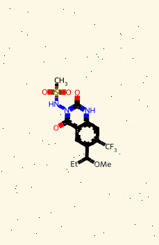 CCC(OC)c1cc2c(=O)n(NS(C)(=O)=O)c(=O)[nH]c2cc1C(F)(F)F